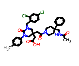 CC(=O)NCC1(c2ccccc2)CCN(C(=O)CC2(CC(=O)O)CN(Cc3ccc(Cl)cc3Cl)C(=O)N(c3ccc(C)cc3)C2)CC1